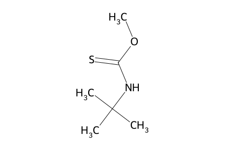 COC(=S)NC(C)(C)C